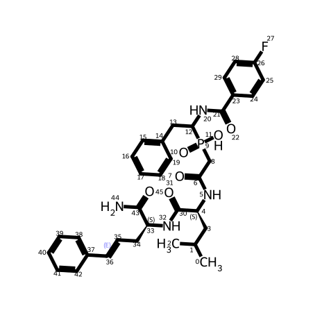 CC(C)C[C@H](NC(=O)CP(=O)(O)C(Cc1ccccc1)NC(=O)c1ccc(F)cc1)C(=O)N[C@@H](C/C=C/c1ccccc1)C(N)=O